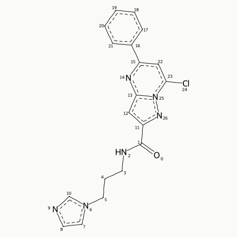 O=C(NCCCn1ccnc1)c1cc2nc(-c3ccccc3)cc(Cl)n2n1